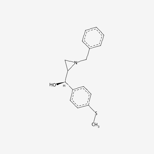 CSc1ccc([C@@H](O)C2CN2Cc2ccccc2)cc1